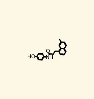 Cc1ccc2cccc(CCC(=O)Nc3ccc(O)cc3)c2c1